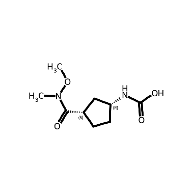 CON(C)C(=O)[C@H]1CC[C@@H](NC(=O)O)C1